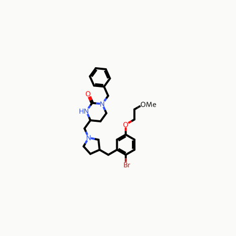 COCCOc1ccc(Br)c(CC2CCN(CC3CCN(Cc4ccccc4)C(=O)N3)C2)c1